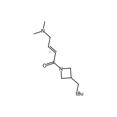 CN(C)C/C=C/C(=O)N1CC(CC(C)(C)C)C1